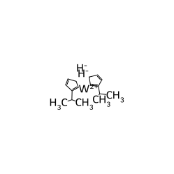 CC(C)C1=[C]([W+2][C]2=C(C(C)C)C=CC2)CC=C1.[H-].[H-]